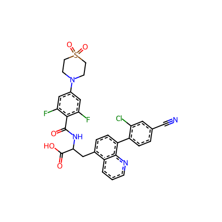 N#Cc1ccc(-c2ccc(CC(NC(=O)c3c(F)cc(N4CCS(=O)(=O)CC4)cc3F)C(=O)O)c3cccnc23)c(Cl)c1